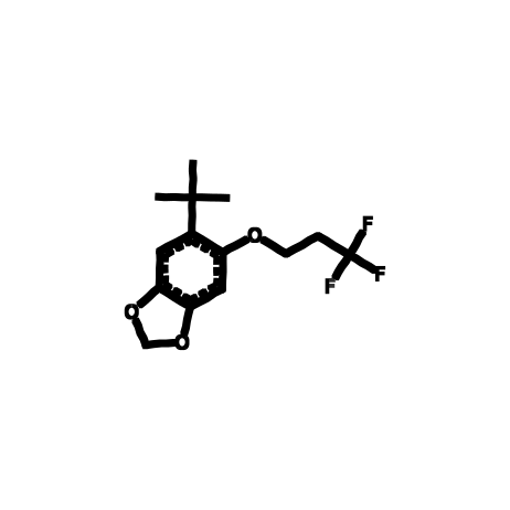 CC(C)(C)c1cc2c(cc1OCCC(F)(F)F)OCO2